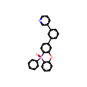 O=P1(c2ccccc2)c2ccccc2Oc2cc(-c3cccc(-c4cccnc4)c3)ccc21